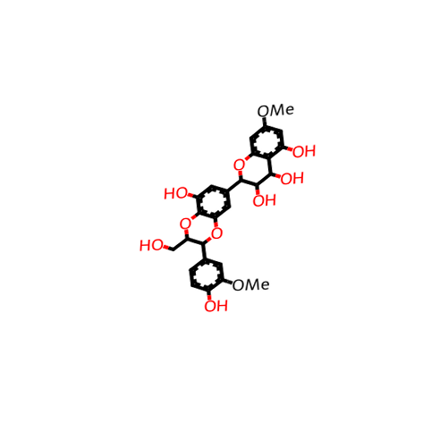 COc1cc(O)c2c(c1)OC(c1cc(O)c3c(c1)OC(c1ccc(O)c(OC)c1)C(CO)O3)C(O)C2O